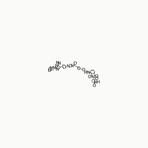 O=C1CCC(N2C(=O)c3cccc(NCCOCCOCCC(=O)N4CCN(c5ccc(-c6cnc(NCc7ccco7)n7cnnc67)cc5)CC4)c3C2=O)C(=O)N1